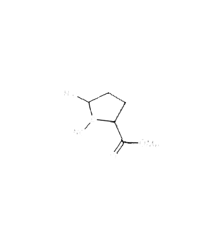 COC(=O)C1CCC(C)B1C#N